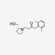 Cc1cccc(C)c1CC(=O)CCN1CCC[C@@H]1CO